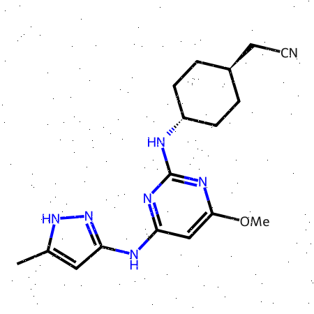 COc1cc(Nc2cc(C)[nH]n2)nc(N[C@H]2CC[C@H](CC#N)CC2)n1